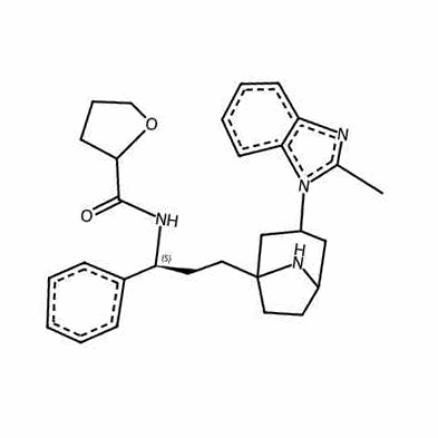 Cc1nc2ccccc2n1C1CC2CCC(CC[C@H](NC(=O)C3CCCO3)c3ccccc3)(C1)N2